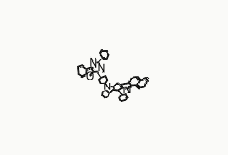 c1ccc(-c2nc(-c3ccc(-n4c5ccccc5c5c6c7ccccc7n7c8c9ccccc9ccc8c(cc54)c67)cc3)c3oc4ccccc4c3n2)cc1